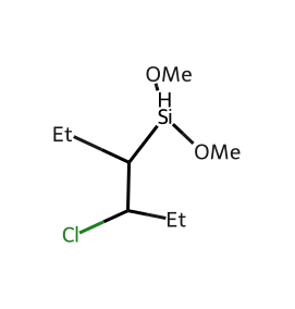 CCC(Cl)C(CC)[SiH](OC)OC